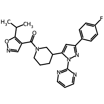 CC(C)c1oncc1C(=O)N1CCCC(c2cc(-c3ccc(F)cc3)nn2-c2ncccn2)C1